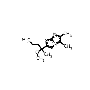 CCCC(C)(OC)c1cn2c(C)c(C)nc2s1